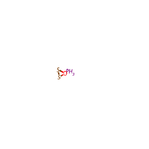 P.o1ss1